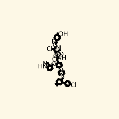 CC1(C)CCC(CN2CCN(c3ccc(C(=O)NS(=O)(=O)c4cnc(OCC5(F)CCC(C)(O)CC5)c(Cl)c4)c(Oc4cccc5[nH]ncc45)c3)CC2)=C(c2ccc(Cl)cc2)C1